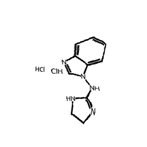 Cl.Cl.c1ccc2c(c1)ncn2NC1=NCCN1